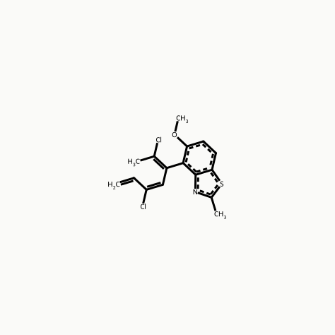 C=C/C(Cl)=C\C(=C(/C)Cl)c1c(OC)ccc2sc(C)nc12